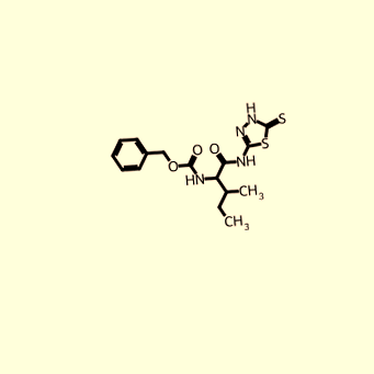 CCC(C)C(NC(=O)OCc1ccccc1)C(=O)Nc1n[nH]c(=S)s1